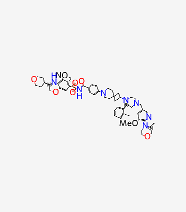 COc1cc(CN2CCN(C3CC4(CCN(c5ccc(C(=O)NS(=O)(=O)c6cc7c(c([N+](=O)[O-])c6)N[C@H](C6CCOCC6)CO7)cc5)CC4)C3)[C@H](c3ccccc3C)C2)cnc1N1CCOC[C@@H]1C